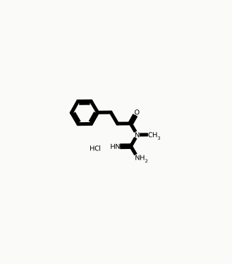 CN(C(=N)N)C(=O)CCc1ccccc1.Cl